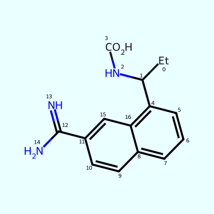 [CH2]CC(NC(=O)O)c1cccc2ccc(C(=N)N)cc12